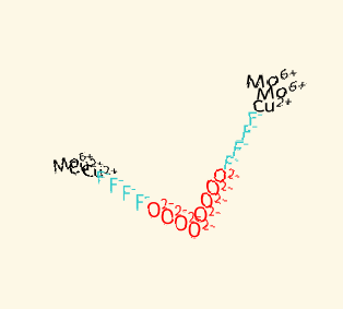 [Cu+2].[Cu+2].[Cu+2].[F-].[F-].[F-].[F-].[F-].[F-].[F-].[F-].[Mo+6].[Mo+6].[Mo+6].[O-2].[O-2].[O-2].[O-2].[O-2].[O-2].[O-2].[O-2]